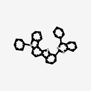 c1ccc(-c2nc(-c3cccc4c3oc3c4ccc4c3c3ccccc3n4-c3ccccc3)nc3ccccc23)cc1